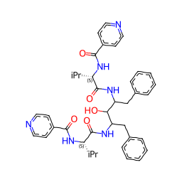 CC(C)[C@H](NC(=O)c1ccncc1)C(=O)NC(Cc1ccccc1)C(O)C(Cc1ccccc1)NC(=O)[C@@H](NC(=O)c1ccncc1)C(C)C